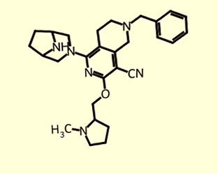 CN1CCCC1COc1nc(N2CC3CCC(C2)N3)c2c(c1C#N)CN(Cc1ccccc1)CC2